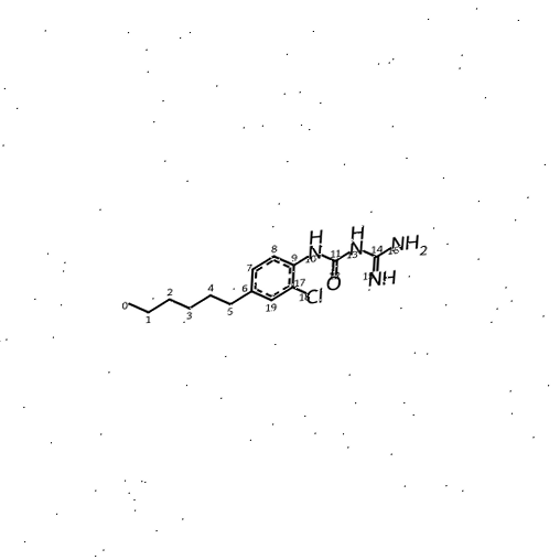 CCCCCCc1ccc(NC(=O)NC(=N)N)c(Cl)c1